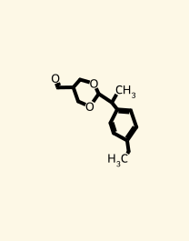 CCc1ccc(C(C)C2OCC(C=O)CO2)cc1